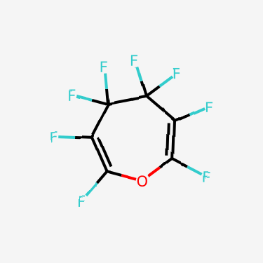 FC1=C(F)C(F)(F)C(F)(F)C(F)=C(F)O1